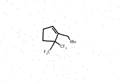 CC(C)(C)CC1=CCCC1(C(F)(F)F)C(F)(F)F